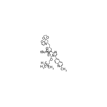 CCN([C@@H](CCCCCC1(c2ncco2)OCCO1)c1ncc(-c2ccc3nc(C)ccc3c2)n1COCC[Si](C)(C)C)[S@+]([O-])C(C)(C)C